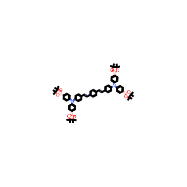 CC1(C)OB(c2ccc(N(c3ccc(/C=C/c4ccc(/C=C/c5ccc(N(c6ccc(B7OC(C)(C)C(C)(C)O7)cc6)c6ccc(B7OC(C)(C)C(C)(C)O7)cc6)cc5)cc4)cc3)c3ccc(B4OC(C)(C)C(C)(C)O4)cc3)cc2)OC1(C)C